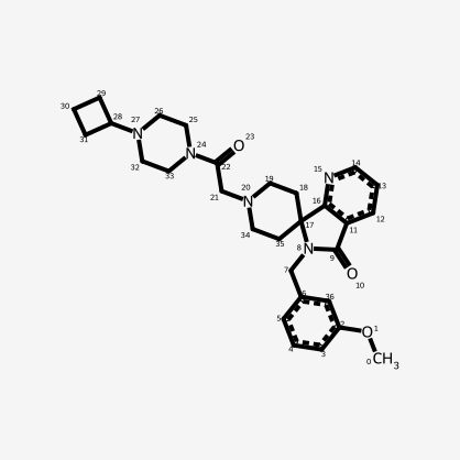 COc1cccc(CN2C(=O)c3cccnc3C23CCN(CC(=O)N2CCN(C4CCC4)CC2)CC3)c1